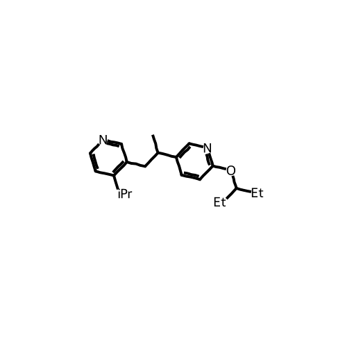 CCC(CC)Oc1ccc(C(C)Cc2cnccc2C(C)C)cn1